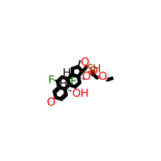 CCOCC(=O)O[C@]1(C(=O)S)[C@H](C)C[C@H]2[C@@H]3C[C@H](F)C4=CC(=O)C=C[C@]4(C)[C@@]3(F)[C@@H](O)C[C@@]21C